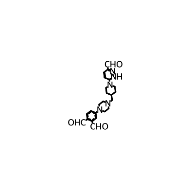 O=CC1=NNC(N2CCC(CN3CCN(c4ccc(C=O)c(C=O)c4)CC3)CC2)C=C1